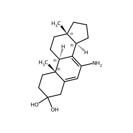 C[C@@]12CCC[C@H]1C1=C(N)C=C3CC(O)(O)CC[C@]3(C)[C@H]1CC2